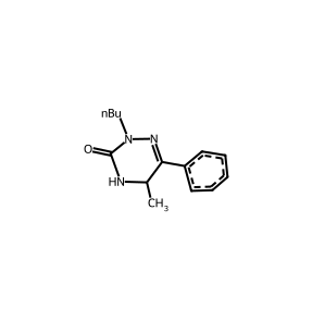 CCCCN1N=C(c2ccccc2)C(C)NC1=O